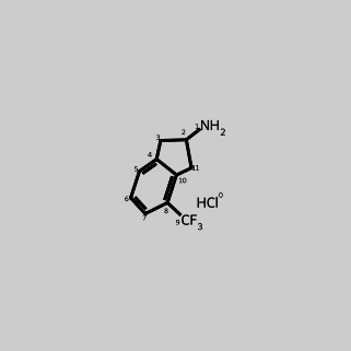 Cl.NC1Cc2cccc(C(F)(F)F)c2C1